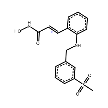 CS(=O)(=O)c1cccc(CNc2ccccc2/C=C/C(=O)NO)c1